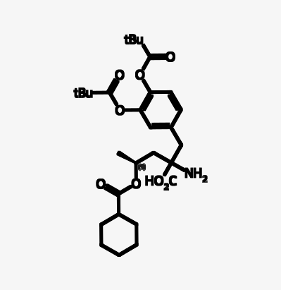 C[C@@H](CC(N)(Cc1ccc(OC(=O)C(C)(C)C)c(OC(=O)C(C)(C)C)c1)C(=O)O)OC(=O)C1CCCCC1